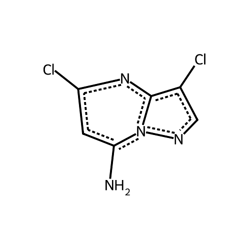 Nc1cc(Cl)nc2c(Cl)cnn12